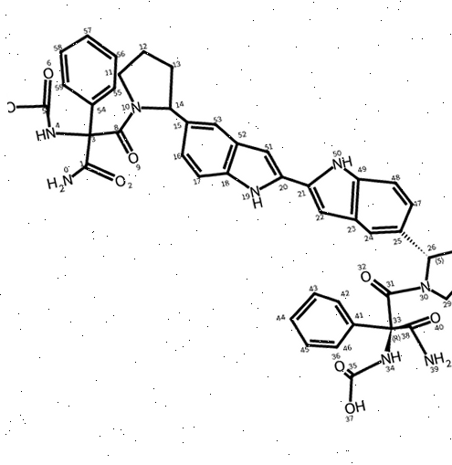 NC(=O)C(NC(=O)O)(C(=O)N1CCCC1c1ccc2[nH]c(-c3cc4cc([C@@H]5CCCN5C(=O)[C@](NC(=O)O)(C(N)=O)c5ccccc5)ccc4[nH]3)cc2c1)c1ccccc1